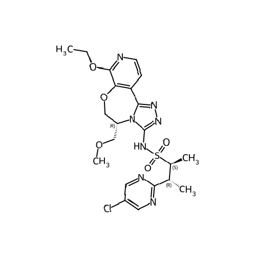 CCOc1nccc2c1OC[C@@H](COC)n1c(NS(=O)(=O)[C@@H](C)[C@H](C)c3ncc(Cl)cn3)nnc1-2